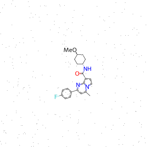 CO[C@H]1CC[C@H](NC(=O)c2ccn3c(C)cc(-c4ccc(F)cc4)nc23)CC1